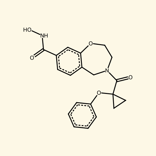 O=C(NO)c1ccc2c(c1)OCCN(C(=O)C1(Oc3ccccc3)CC1)C2